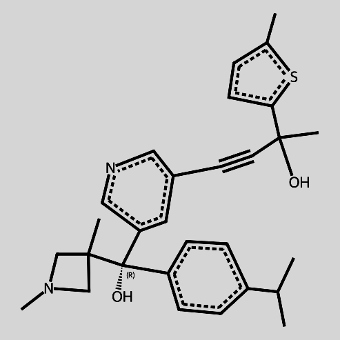 Cc1ccc(C(C)(O)C#Cc2cncc([C@@](O)(c3ccc(C(C)C)cc3)C3(C)CN(C)C3)c2)s1